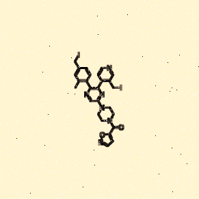 Cc1cc(CI)ccc1-c1ncc(N2CCN(C(=O)c3ccno3)CC2)nc1-c1ccncc1CI